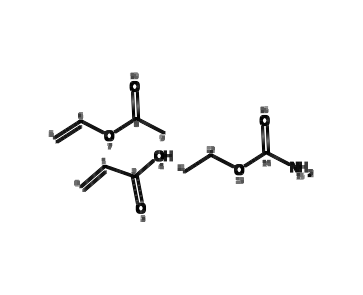 C=CC(=O)O.C=COC(C)=O.CCOC(N)=O